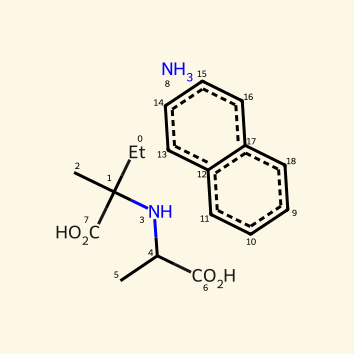 CCC(C)(NC(C)C(=O)O)C(=O)O.N.c1ccc2ccccc2c1